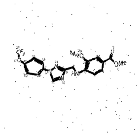 COC(=O)c1ccc(NCc2ncn(-c3ccc(OC(F)(F)F)cc3)n2)c(OC)c1